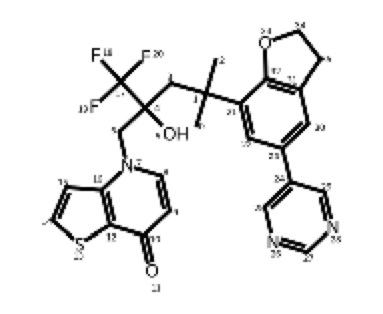 CC(C)(CC(O)(Cn1ccc(=O)c2sccc21)C(F)(F)F)c1cc(-c2cncnc2)cc2c1OCC2